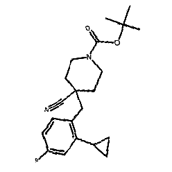 CC(C)(C)OC(=O)N1CCC(C#N)(Cc2ccc(F)cc2C2CC2)CC1